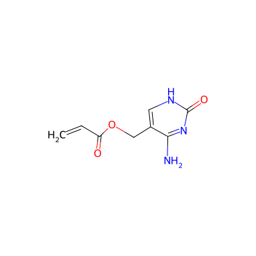 C=CC(=O)OCc1c[nH]c(=O)nc1N